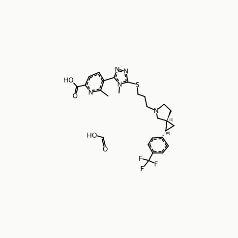 Cc1nc(C(=O)O)ccc1-c1nnc(SCCCN2CC[C@]3(C[C@@H]3c3ccc(C(F)(F)F)cc3)C2)n1C.O=CO